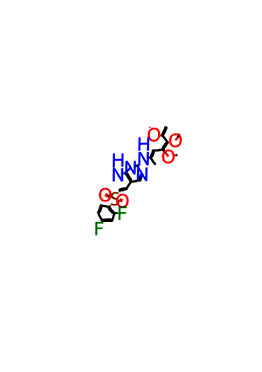 C=C(OC)/C(OC)=C(\C=C(/C)Nc1ncc(/C=C/S(=O)(=O)c2ccc(F)cc2F)c(NC)n1)OC